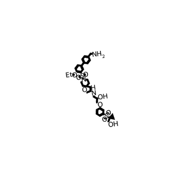 CCOc1ccc(-c2ccc(CN)cc2)cc1S(=O)(=O)N1CCC2(CC1)C[C@H](NCC(O)COc1cccc(S(=O)(=O)C3(CO)CC3)c1)CO2